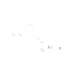 Nc1ccc(Oc2ccnc(NCc3ccccn3)c2)c2ccccc12